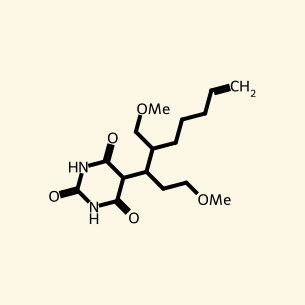 C=CCCCC(COC)C(CCOC)C1C(=O)NC(=O)NC1=O